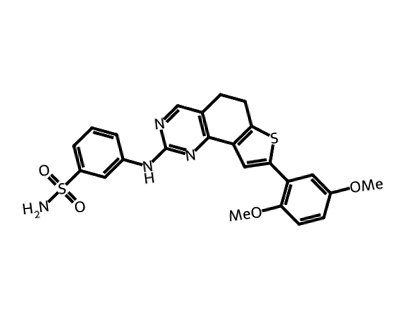 COc1ccc(OC)c(-c2cc3c(s2)CCc2cnc(Nc4cccc(S(N)(=O)=O)c4)nc2-3)c1